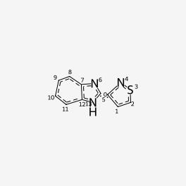 [c]1ccsn1.[c]1nc2ccccc2[nH]1